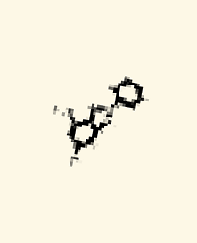 CC(=O)c1cc(N)c2nn(-c3ccccc3)nc2c1